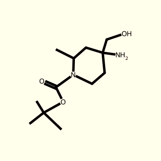 CC1CC(N)(CO)CCN1C(=O)OC(C)(C)C